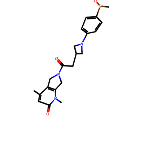 Cc1cc(=O)n(C)c2c1CN(C(=O)CC1CN(c3ccc([S+](C)[O-])cc3)C1)C2